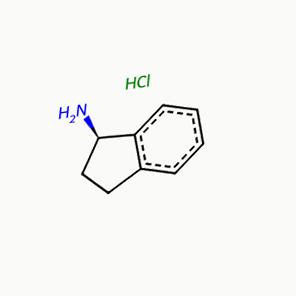 Cl.N[C@@H]1CCc2ccccc21